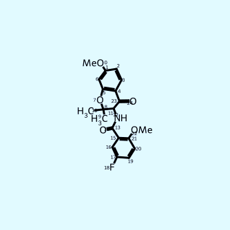 COc1ccc2c(c1)OC(C)(C)C(NC(=O)c1cc(F)ccc1OC)C2=O